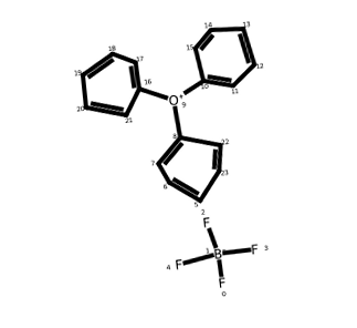 F[B-](F)(F)F.c1ccc([O+](c2ccccc2)c2ccccc2)cc1